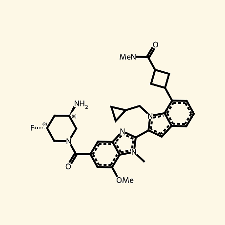 CNC(=O)C1CC(c2cccc3cc(-c4nc5cc(C(=O)N6C[C@H](N)C[C@@H](F)C6)cc(OC)c5n4C)n(CC4CC4)c23)C1